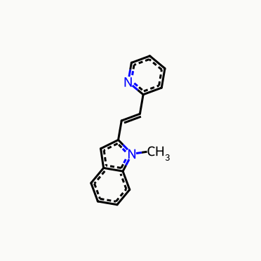 Cn1c(C=Cc2ccccn2)cc2ccccc21